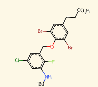 CCC(C)Nc1cc(Cl)cc(COc2c(Br)cc(CCC(=O)O)cc2Br)c1F